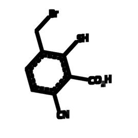 N#Cc1ccc(CBr)c(S)c1C(=O)O